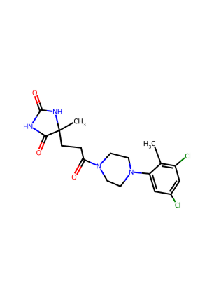 Cc1c(Cl)cc(Cl)cc1N1CCN(C(=O)CCC2(C)NC(=O)NC2=O)CC1